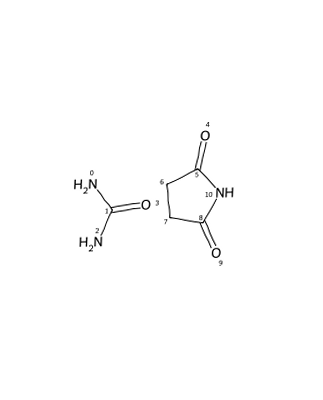 NC(N)=O.O=C1CCC(=O)N1